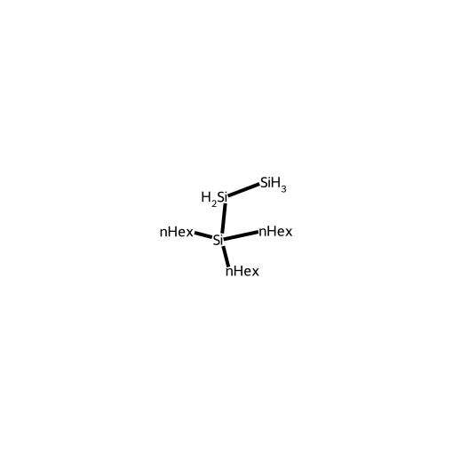 CCCCCC[Si](CCCCCC)(CCCCCC)[SiH2][SiH3]